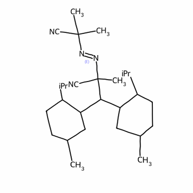 CC1CCC(C(C)C)C(C(C2CC(C)CCC2C(C)C)C(C)(C#N)/N=N/C(C)(C)C#N)C1